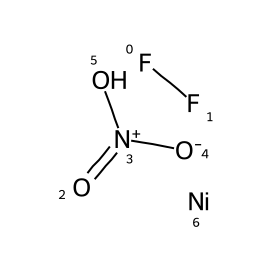 FF.O=[N+]([O-])O.[Ni]